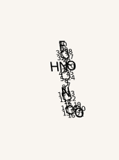 O=C(N[C@H]1CC[C@H](CCN2CCC(c3cccc4c3CCO4)CC2)CC1)c1ccc(F)cc1